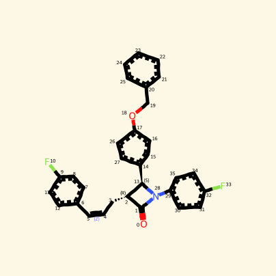 O=C1[C@H](C/C=C\c2ccc(F)cc2)[C@@H](c2ccc(OCc3ccccc3)cc2)N1c1ccc(F)cc1